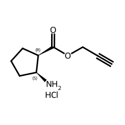 C#CCOC(=O)[C@@H]1CCC[C@@H]1N.Cl